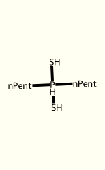 CCCCC[PH](S)(S)CCCCC